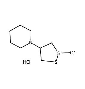 Cl.[O-][S+]1CC(N2CCCCC2)CS1